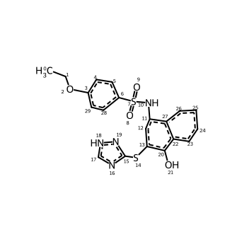 CCOc1ccc(S(=O)(=O)Nc2cc(Sc3nc[nH]n3)c(O)c3ccccc23)cc1